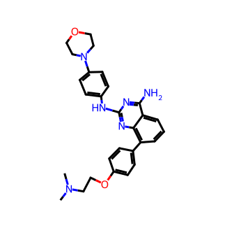 CN(C)CCOc1ccc(-c2cccc3c(N)nc(Nc4ccc(N5CCOCC5)cc4)nc23)cc1